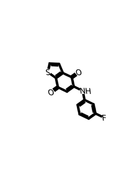 O=C1C(Nc2cccc(F)c2)=CC(=O)c2sccc21